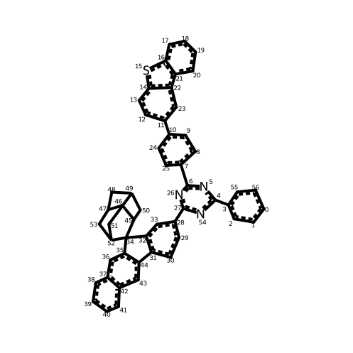 c1ccc(-c2nc(-c3ccc(-c4ccc5sc6ccccc6c5c4)cc3)nc(-c3ccc4c(c3)C3(c5cc6ccccc6cc5-4)C4CC5CC(C4)CC3C5)n2)cc1